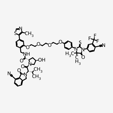 Cc1ncsc1-c1ccc(CNC(=O)[C@@H]2C[C@@H](O)CN2C(=O)[C@H](C(C)C)N2Cc3cccc(C#N)c3C2=O)c(OCCOCCOCCOc2ccc(N3C(=S)N(c4ccc(C#N)c(C(F)(F)F)c4)C(=O)C3(C)C)cc2)c1